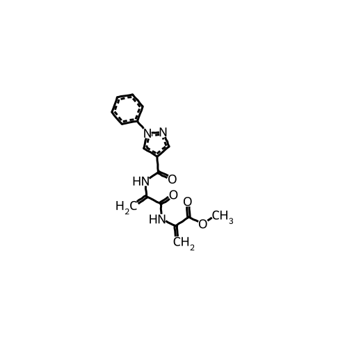 C=C(NC(=O)c1cnn(-c2ccccc2)c1)C(=O)NC(=C)C(=O)OC